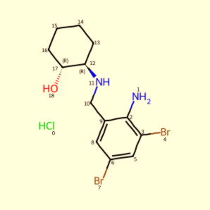 Cl.Nc1c(Br)cc(Br)cc1CN[C@@H]1CCCC[C@H]1O